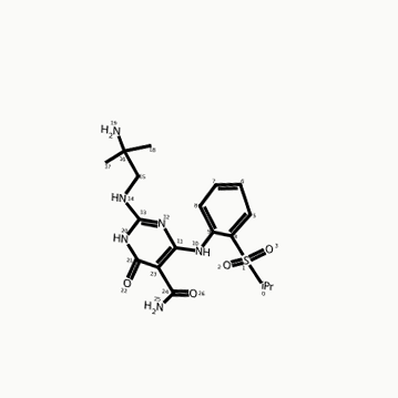 CC(C)S(=O)(=O)c1ccccc1Nc1nc(NCC(C)(C)N)[nH]c(=O)c1C(N)=O